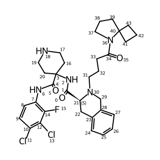 O=C(NC1(C(=O)Nc2ccc(Cl)c(Cl)c2F)CCNCC1)[C@@H]1Cc2ccccc2CN1CCCC(=O)N1CCCC12CCC2